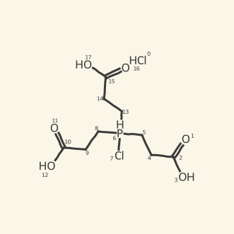 Cl.O=C(O)CC[PH](Cl)(CCC(=O)O)CCC(=O)O